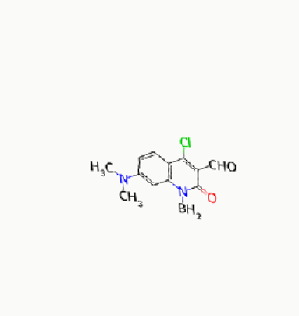 Bn1c(=O)c(C=O)c(Cl)c2ccc(N(C)C)cc21